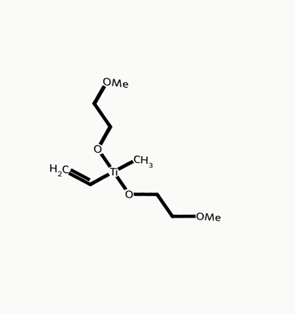 C=[CH][Ti]([CH3])([O]CCOC)[O]CCOC